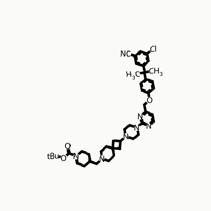 CC(C)(C)OC(=O)N1CCC(CN2CCC3(CC2)CC(N2CCN(c4nccc(COc5ccc(C(C)(C)c6cc(Cl)cc(C#N)c6)cc5)n4)CC2)C3)CC1